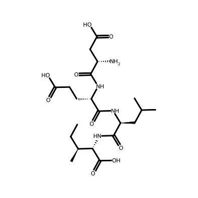 CC[C@H](C)[C@H](NC(=O)[C@H](CC(C)C)NC(=O)[C@H](CCC(=O)O)NC(=O)[C@@H](N)CC(=O)O)C(=O)O